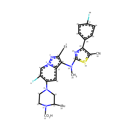 CCc1nn2cc(F)c(N3CCN(C(=O)O)C(C(C)(C)C)C3)cc2c1N(C)c1nc(-c2ccc(F)cc2)c(C#N)s1